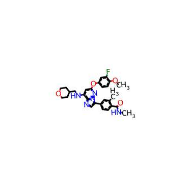 CNC(=O)c1ccc(-c2cnc3c(NCC4CCOCC4)cc(Oc4ccc(OC)c(F)c4)nn23)cc1C